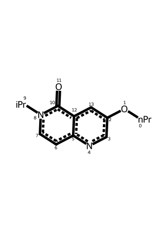 CCCOc1cnc2ccn(C(C)C)c(=O)c2c1